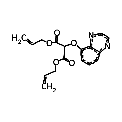 C=CCOC(=O)C(Oc1cccc2nccnc12)C(=O)OCC=C